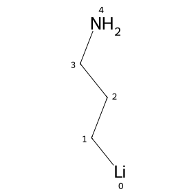 [Li][CH2]CCN